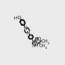 CC(O)C(C)NC(=O)N(C=N)c1ccc(N2CCN(c3ccc(O)cc3)CC2)cc1